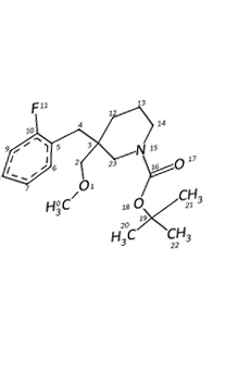 COCC1(Cc2ccccc2F)CCCN(C(=O)OC(C)(C)C)C1